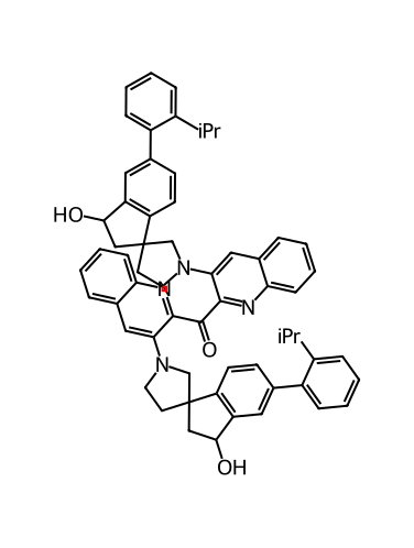 CC(C)c1ccccc1-c1ccc2c(c1)C(O)CC21CCN(c2cc3ccccc3nc2C(=O)c2nc3ccccc3cc2N2CCC3(CC(O)c4cc(-c5ccccc5C(C)C)ccc43)C2)C1